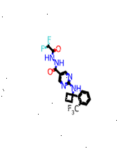 O=C(NNC(=O)C(F)F)c1cnc(NC2(c3ccccc3C(F)(F)F)CCC2)nc1